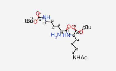 CC(=O)NCCCCC(NC(=O)C(N)CCCCNC(=O)OC(C)(C)C)C(=O)OC(C)(C)C